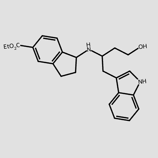 CCOC(=O)c1ccc2c(c1)CCC2NC(CCO)Cc1c[nH]c2ccccc12